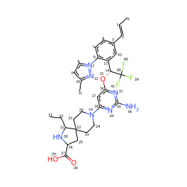 C/C=C/c1ccc(-n2ccc(C)n2)c([C@@H](Oc2cc(N3CCC4(CC3)CC(C(=O)O)NC4CC)nc(N)n2)C(F)(F)F)c1